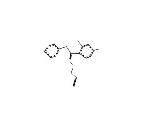 C=CCON=C(Cc1cnccn1)c1ccc(Cl)cc1Cl